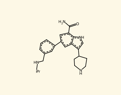 CC(C)NCc1cccc(-c2cc(C(N)=O)c3[nH]cc(C4CCNCC4)c3c2)c1